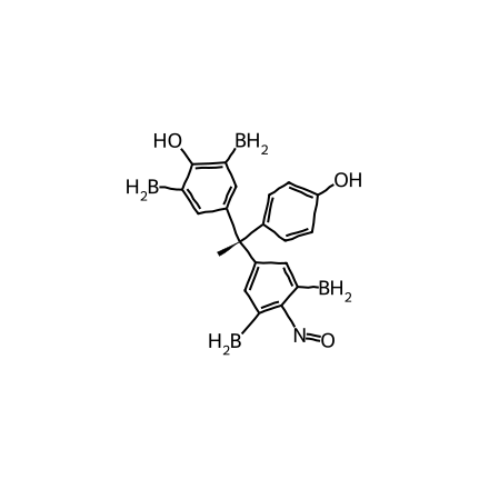 Bc1cc([C@](C)(c2ccc(O)cc2)c2cc(B)c(N=O)c(B)c2)cc(B)c1O